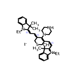 CCN1/C(=C/C=C2\CSCC(/C=C\C3=[N+](CC)c4ccccc4C3(C)C)=C2N2CCNCC2)C(C)(C)c2ccccc21.[I-]